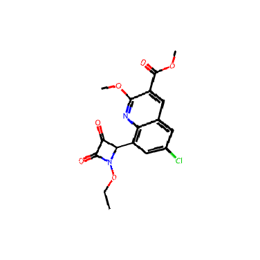 CCON1C(=O)C(=O)C1c1cc(Cl)cc2cc(C(=O)OC)c(OC)nc12